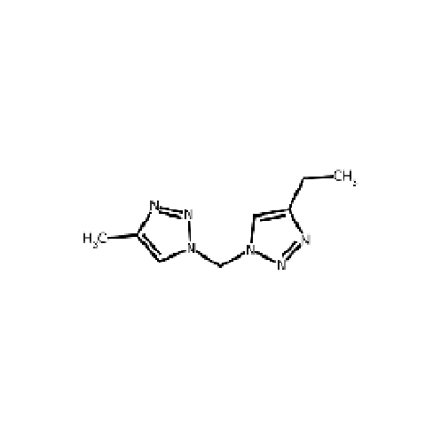 CCc1cn(Cn2cc(C)nn2)nn1